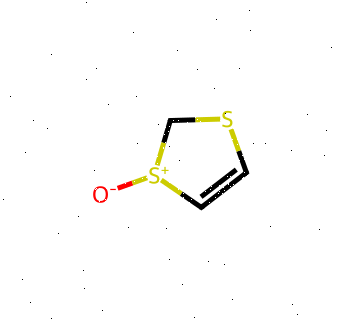 [O-][S+]1C=CSC1